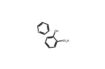 O=S(=O)(O)c1ccccc1O.c1ccncc1